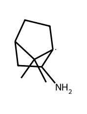 CC1(C)[C]2CCC1CC2N